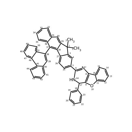 CC1(C)c2cc(C3=Nc4c(oc5ccccc45)C(c4ccccc4)N3)ccc2-c2c1cc1ccccc1c2-c1cc2ccccc2c2ccccc12